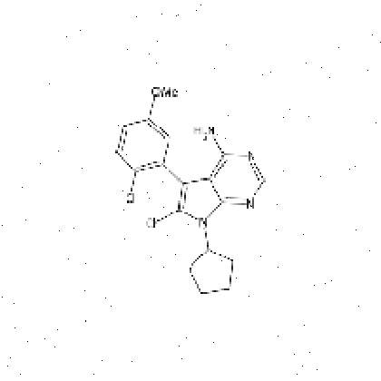 COc1ccc(Cl)c(-c2c(Cl)n(C3CCCC3)c3ncnc(N)c23)c1